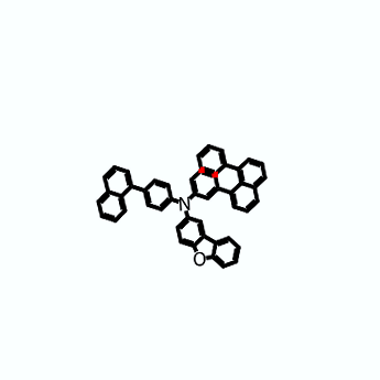 c1ccc(-c2cccc3cccc(-c4cccc(N(c5ccc(-c6cccc7ccccc67)cc5)c5ccc6oc7ccccc7c6c5)c4)c23)cc1